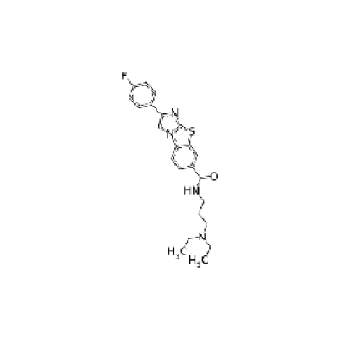 CCN(CC)CCCNC(=O)c1ccc2c(c1)sc1nc(-c3ccc(F)cc3)cn12